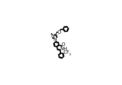 CN1CN(c2ccc3cc(-c4ccccc4C(F)(F)F)[nH]c(=O)c3c2)C[C@@H]1COCc1ccccc1